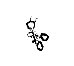 CC(C)(C)[Si](O[C@H]1COC[C@@]1(C)N1CC[C@@H](I)[C@H](F)C1)(c1ccccc1)c1ccccc1